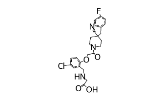 N#CC1(Cc2ccc(F)cc2)CCN(C(=O)COc2ccc(Cl)cc2CNCC(=O)O)CC1